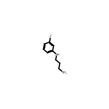 NCCCNc1cccc(F)c1